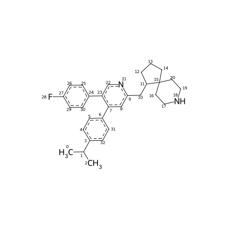 CC(C)c1ccc(-c2cc(CC3CCCC34CCNCC4)ncc2-c2ccc(F)cc2)cc1